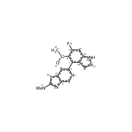 CNc1nc2cnc(-c3c([S+](C)[O-])c(F)cc4[nH]ncc34)cc2s1